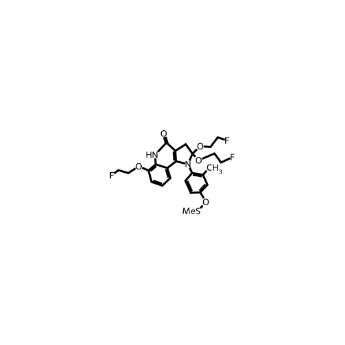 CSOc1ccc(N2c3c(c(=O)[nH]c4c(OCCF)cccc34)CC2(OCCF)OCCF)c(C)c1